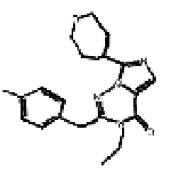 CCn1c(Cc2ccc(C)cc2)nn2c(C3CCOCC3)ncc2c1=O